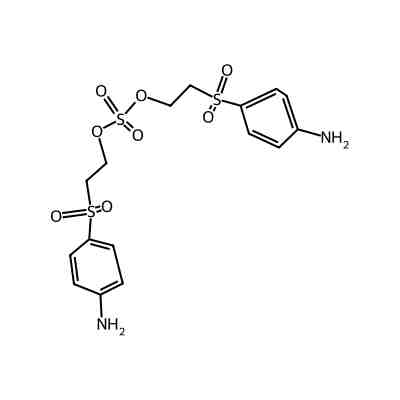 Nc1ccc(S(=O)(=O)CCOS(=O)(=O)OCCS(=O)(=O)c2ccc(N)cc2)cc1